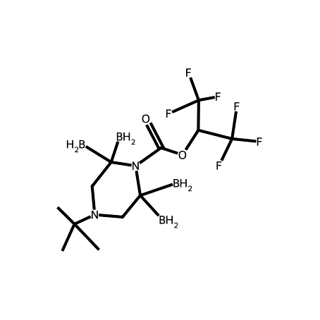 BC1(B)CN(C(C)(C)C)CC(B)(B)N1C(=O)OC(C(F)(F)F)C(F)(F)F